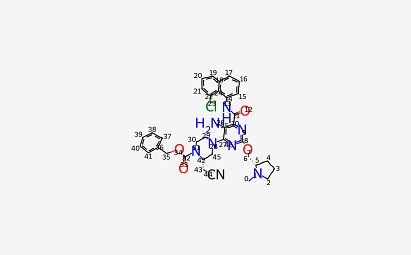 CN1CCC[C@H]1COc1nc(C(=O)Nc2cccc3cccc(Cl)c23)c(N)c(N2CCN(C(=O)OCc3ccccc3)[C@@H](CC#N)C2)n1